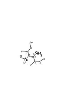 CCC(C)C([SiH3])=C(C(C)CC)N(C)C